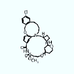 C[C@H]1CO[C@H]2CCO[C@H](C2)[C@@H]2CC[C@H]2CN2CCCCc3cc(Cl)ccc3COc3ccc(cc32)C(=O)NS1(=O)=O